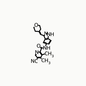 Cc1c(C#N)cnc(C(=O)Nc2ccc3[nH]nc(C=C4CCOCC4)c3c2)c1C